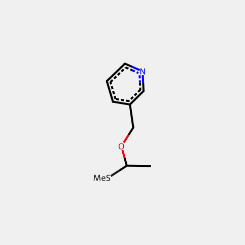 CSC(C)OCc1cccnc1